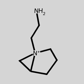 NCC[N+]12CCCC1C2